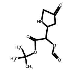 CC(C)(C)OC(=O)C(OC=O)C1CC(=O)CN1